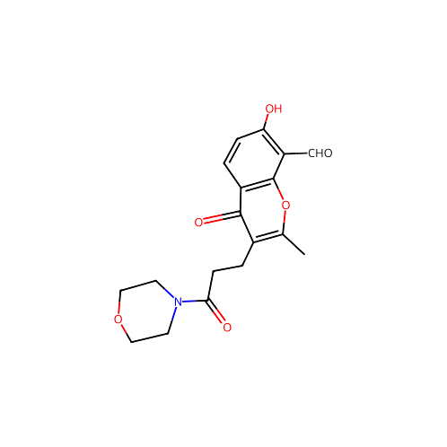 Cc1oc2c(C=O)c(O)ccc2c(=O)c1CCC(=O)N1CCOCC1